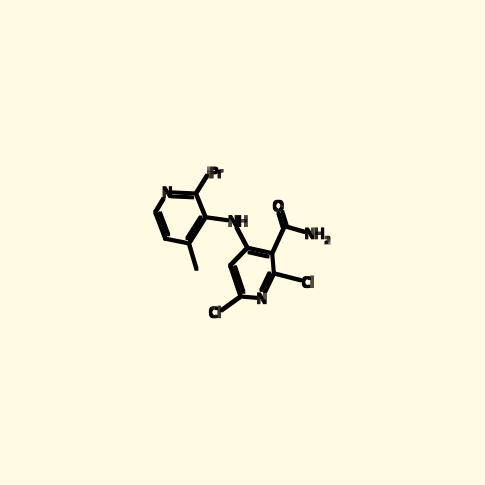 Cc1ccnc(C(C)C)c1Nc1cc(Cl)nc(Cl)c1C(N)=O